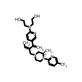 C=C(/C(=C\C)CN1CCN(c2ccc(C(F)(F)F)cn2)[C@H](C)C1)c1ccc(N(CCO)CCO)nc1